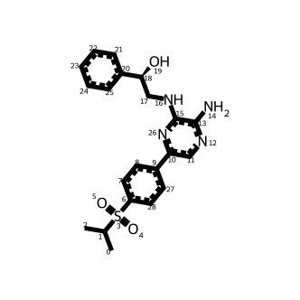 CC(C)S(=O)(=O)c1ccc(-c2cnc(N)c(NC[C@H](O)c3ccccc3)n2)cc1